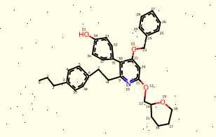 CCCc1ccc(CCc2nc(OCC3CCCCO3)cc(OCc3ccccc3)c2-c2ccc(O)cc2)cc1